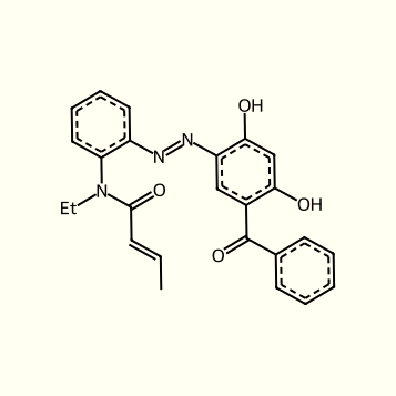 CC=CC(=O)N(CC)c1ccccc1N=Nc1cc(C(=O)c2ccccc2)c(O)cc1O